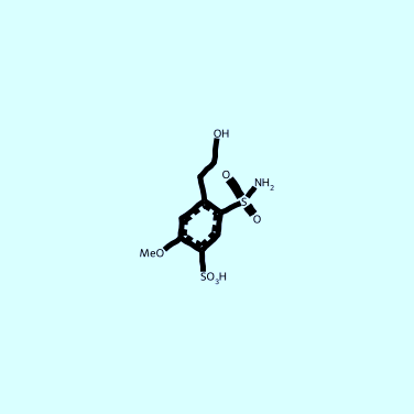 COc1cc(CCO)c(S(N)(=O)=O)cc1S(=O)(=O)O